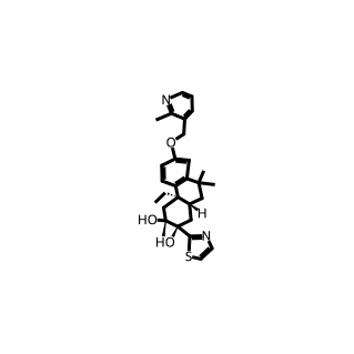 CC[C@@]12C[C@@](C)(O)[C@@](O)(c3nccs3)C[C@H]1CC(C)(C)c1cc(OCc3cccnc3C)ccc12